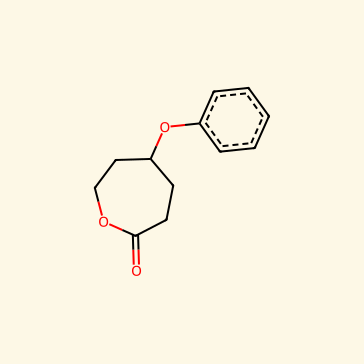 O=C1CCC(Oc2ccccc2)CCO1